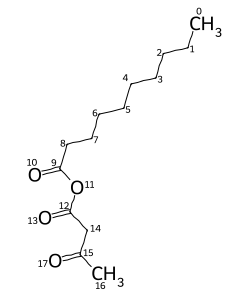 CCCCCCCCCC(=O)OC(=O)CC(C)=O